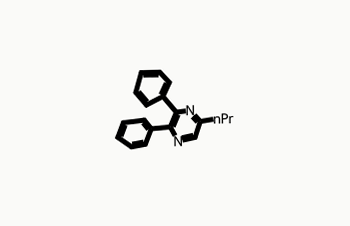 CCCc1cnc(-c2ccccc2)c(-c2ccccc2)n1